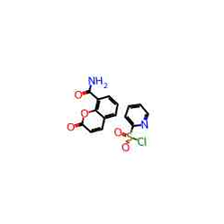 NC(=O)c1cccc2ccc(=O)oc12.O=S(=O)(Cl)c1ccccn1